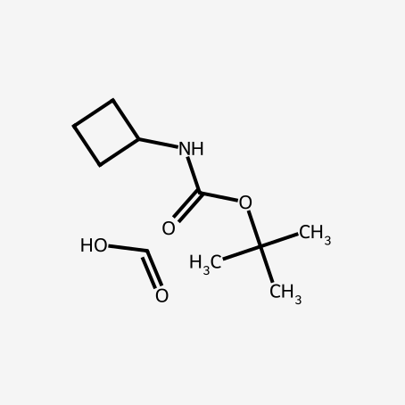 CC(C)(C)OC(=O)NC1CCC1.O=CO